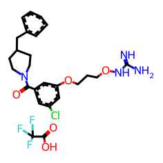 N=C(N)NOCCCOc1cc(Cl)cc(C(=O)N2CCC(Cc3ccccc3)CC2)c1.O=C(O)C(F)(F)F